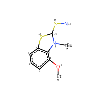 CCOc1cccc2c1N(C(C)(C)C)C(S[N])S2